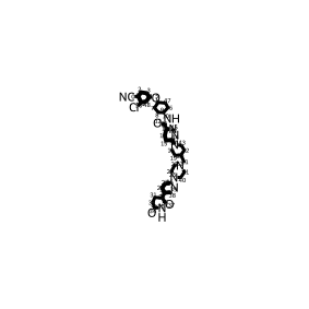 N#Cc1ccc(O[C@H]2CC[C@H](NC(=O)c3ccc(N4CCC(CN5CCN(c6ccc(C7CCC(=O)NC7=O)cn6)CC5)CC4)nn3)CC2)cc1Cl